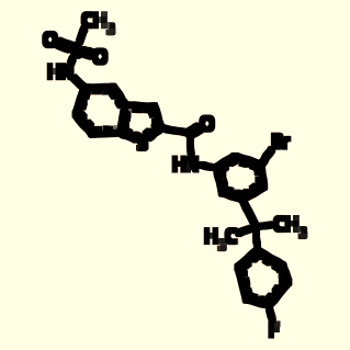 CC(C)(c1ccc(F)cc1)c1cc(Br)cc(NC(=O)c2cc3cc(NS(C)(=O)=O)ccc3s2)c1